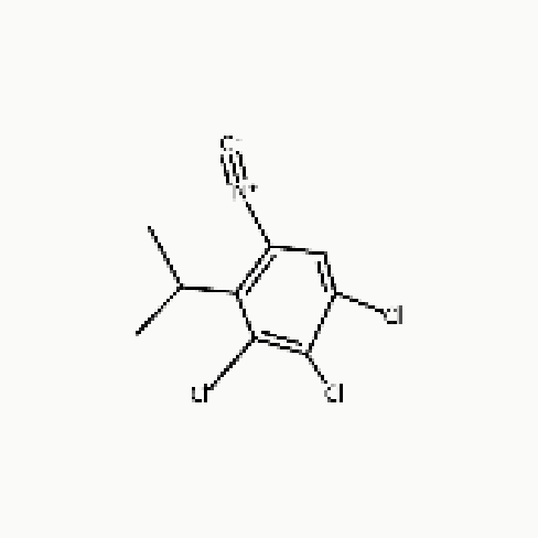 [C-]#[N+]c1cc(Cl)c(Cl)c(Cl)c1C(C)C